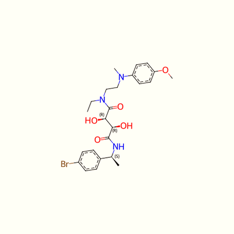 CCN(CCN(C)c1ccc(OC)cc1)C(=O)[C@H](O)[C@@H](O)C(=O)N[C@@H](C)c1ccc(Br)cc1